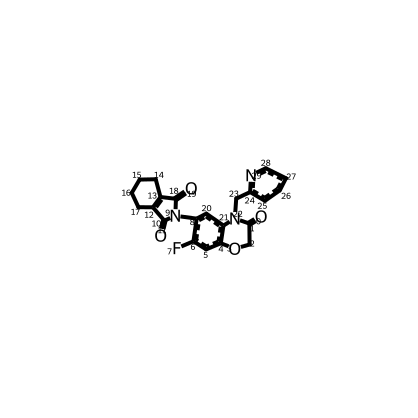 O=C1COc2cc(F)c(N3C(=O)C4=C(CCCC4)C3=O)cc2N1Cc1ccccn1